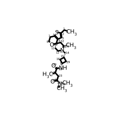 CCc1cc2c(s1)CCO[C@@]21CCN(C[C@H]2C[C@@H](NC(=O)C(C)CC(=O)N(C)C)C2)[C@@H](C)C1